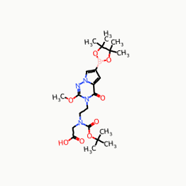 COc1nn2cc(B3OC(C)(C)C(C)(C)O3)cc2c(=O)n1CCN(CC(=O)O)C(=O)OC(C)(C)C